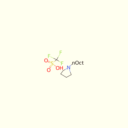 CCCCCCCCN1CCCC1.O=S(=O)(O)C(F)(F)F